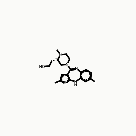 Cc1cc2c(s1)Nc1cc(F)ccc1N=C2N1CCN(C)[C@@H](CCO)C1